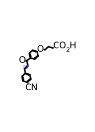 N#Cc1ccc(/C=C/C(=O)c2ccc(OCCCC(=O)O)cc2)cc1